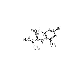 CCOC(=O)c1cc(Br)cc(C)c1OC(=S)N(C)C